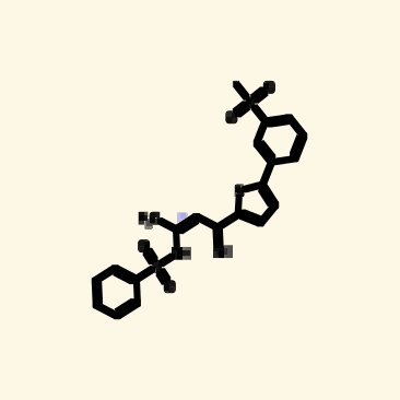 CS(=O)(=O)c1cccc(-c2ccc(C(=N)/C=C(\NS(=O)(=O)c3ccccc3)C(F)(F)F)s2)c1